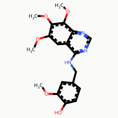 COc1cc(CNc2ncnc3c(OC)c(OC)c(OC)cc23)ccc1O